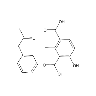 CC(=O)Cc1ccccc1.Cc1c(C(=O)O)ccc(O)c1C(=O)O